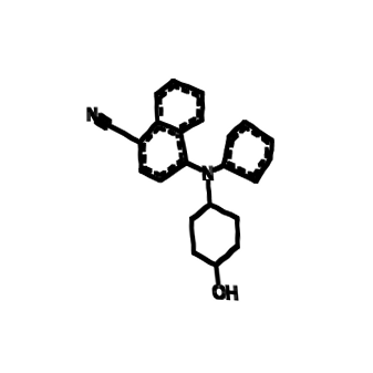 N#Cc1ccc(N(c2ccccc2)C2CCC(O)CC2)c2ccccc12